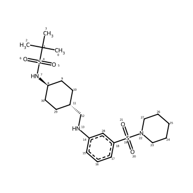 CC(C)(C)S(=O)(=O)N[C@H]1CC[C@H](CNc2cccc(S(=O)(=O)N3CCCCC3)c2)CC1